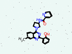 Cc1ccc2c(N3CCC(NC(=O)c4ccccn4)C3)nc(-c3ccccc3O)nc2c1